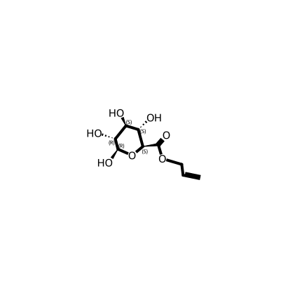 C=CCOC(=O)[C@H]1O[C@@H](O)[C@H](O)[C@@H](O)[C@@H]1O